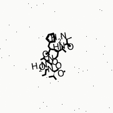 CCC(=O)N(C(=O)[C@@](N)(C(C)C)N1CCC(C(C)NC(=O)[C@H](C)N)=CC(Cc2ccccc2)C1=O)[C@H](C(=O)OC)C(C)C